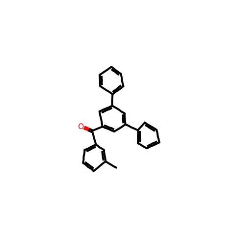 Cc1cccc(C(=O)c2cc(-c3ccccc3)cc(-c3ccccc3)c2)c1